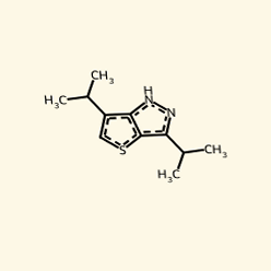 CC(C)c1csc2c(C(C)C)n[nH]c12